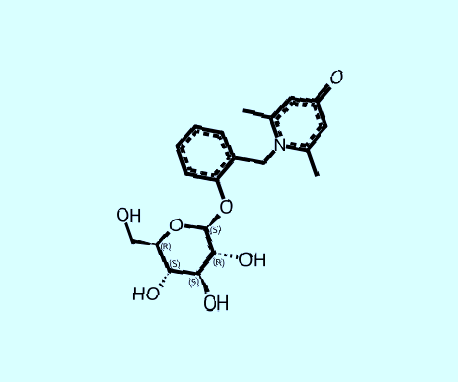 Cc1cc(=O)cc(C)n1Cc1ccccc1O[C@@H]1O[C@H](CO)[C@@H](O)[C@H](O)[C@H]1O